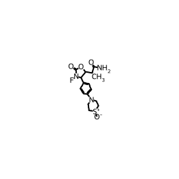 CC(C(N)=O)C1OC(=O)N(F)C1c1ccc(N2CC[S+]([O-])CC2)cc1